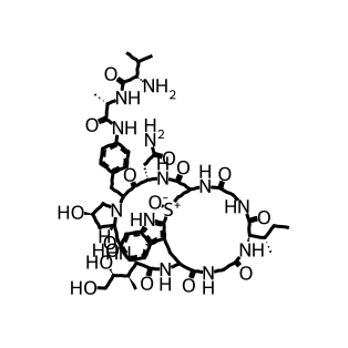 CC[C@H](C)[C@@H]1NC(=O)CNC(=O)C2Cc3c([nH]c4cc(O)ccc34)[S+]([O-])CC(NC(=O)CNC1=O)C(=O)N[C@@H](CC(N)=O)C(=O)C(Cc1ccc(NC(=O)[C@H](C)NC(=O)[C@@H](N)C(C)C)cc1)N1C[C@H](O)C[C@H]1C(=O)N[C@@H]([C@@H](C)[C@@H](O)CO)C(=O)N2